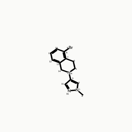 Cn1cc(N2CCc3c(Br)cccc3C2)cn1